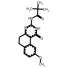 COc1ccc2c(c1)-c1c(nc(NC(=O)C(C)(C)C)[nH]c1=O)CC2